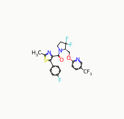 Cc1nc(C(=O)N2CCC(F)(F)[C@H]2COc2ccc(C(F)(F)F)cn2)c(-c2ccc(F)cc2)s1